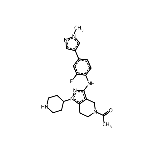 CC(=O)N1CCc2c(c(Nc3ccc(-c4cnn(C)c4)cc3F)nn2C2CCNCC2)C1